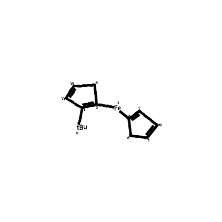 CC(C)(C)C1=[C]([Fe][C]2=CC=CC2)CC=C1